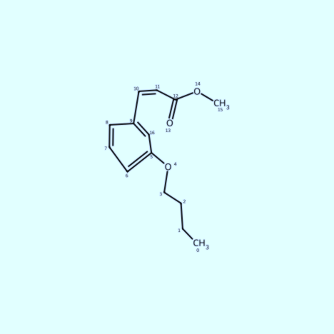 CCCCOc1cccc(/C=C\C(=O)OC)c1